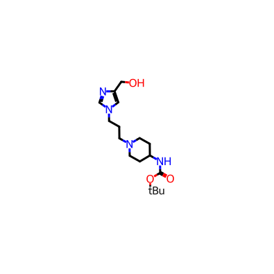 CC(C)(C)OC(=O)NC1CCN(CCCn2cnc(CO)c2)CC1